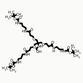 CC(C)(C)OC(=O)NCCCNC(=O)CCOCC(COCCC(=O)NCCCNC(=O)OC(C)(C)C)(COCCC(=O)NCCCNC(=O)OC(C)(C)C)NCO